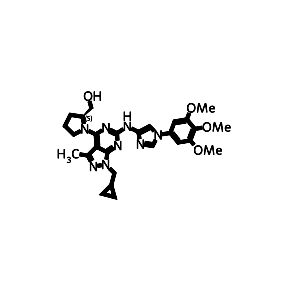 COc1cc(-n2cnc(Nc3nc(N4CCC[C@H]4CO)c4c(C)nn(CC5CC5)c4n3)c2)cc(OC)c1OC